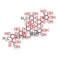 CO[C@@H]1C(CO[C@@H]2OC(CO)[C@@H](O[C@@H]3OC(CO)[C@H](O)[C@H](O[C@]4(C(=O)O)C[C@@H](O)[C@@H](C)C(C(O)C(O)CO)O4)C3O)[C@H](O)C2NC(C)=O)O[C@H](O[C@H]2C(CO)O[C@@H](O[C@@H]3C(CO)O[C@@H](C)C(O)[C@H]3O)C(O)[C@H]2O[C@@H]2OC(CO)[C@@H](O)[C@H](O)C2O)C(O)[C@H]1O